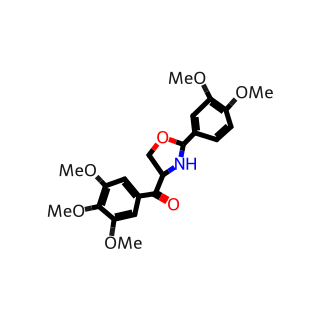 COc1ccc(C2NC(C(=O)c3cc(OC)c(OC)c(OC)c3)CO2)cc1OC